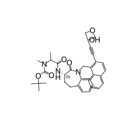 CC(C(=O)N[C@H]1CCc2ccccc2N(Cc2c(C#CC3(O)COC3)ccc3ccccc23)C1=O)N(C)C(=O)OC(C)(C)C